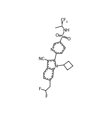 C[C@H](NS(=O)(=O)c1ccc(-c2c(C#N)c3ccc(CC(F)F)cc3n2C2CCC2)nc1)C(F)(F)F